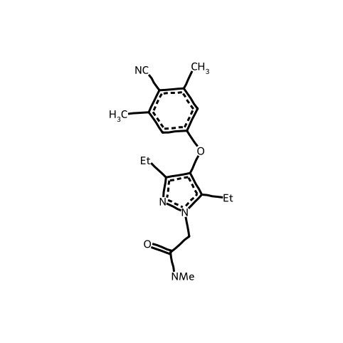 CCc1nn(CC(=O)NC)c(CC)c1Oc1cc(C)c(C#N)c(C)c1